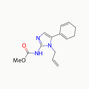 C=CCn1c(C2=CCCC=C2)cnc1NC(=O)OC